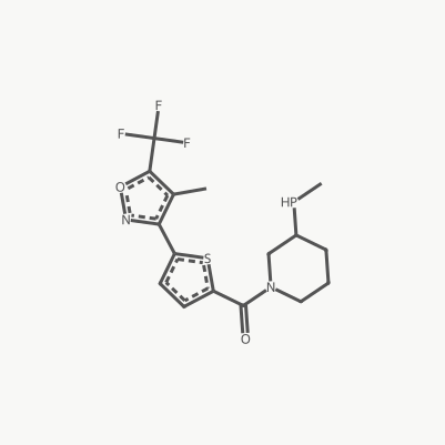 CPC1CCCN(C(=O)c2ccc(-c3noc(C(F)(F)F)c3C)s2)C1